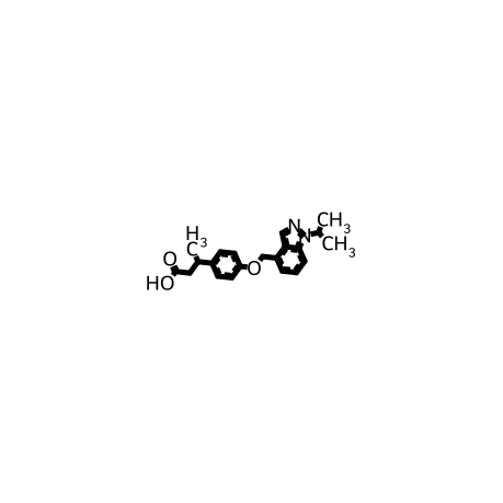 CC(CC(=O)O)c1ccc(OCc2cccc3c2cnn3C(C)C)cc1